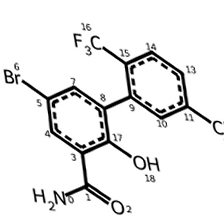 NC(=O)c1cc(Br)cc(-c2cc(C(F)(F)F)ccc2C(F)(F)F)c1O